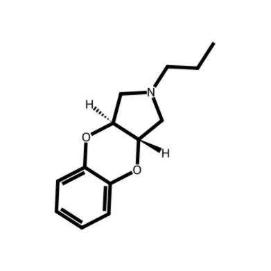 CCCN1C[C@@H]2Oc3ccccc3O[C@H]2C1